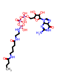 CCCC(=O)NCCCCC(=O)NCCNP(=O)(O)OP(=O)(O)OP(=O)(O)OCC1OC(N2C=NC3C(=O)NC(N)=NC32)C(O)C1O